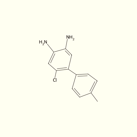 Cc1ccc(-c2cc(N)c(N)cc2Cl)cc1